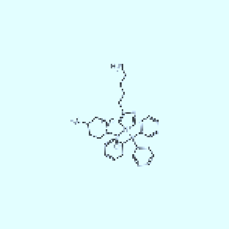 CC1=C(CCCCN)N=C[N@+]1(C(=O)N1CCC(C(F)(F)F)CC1)C(c1ccccc1)(c1ccccc1)c1ccccc1